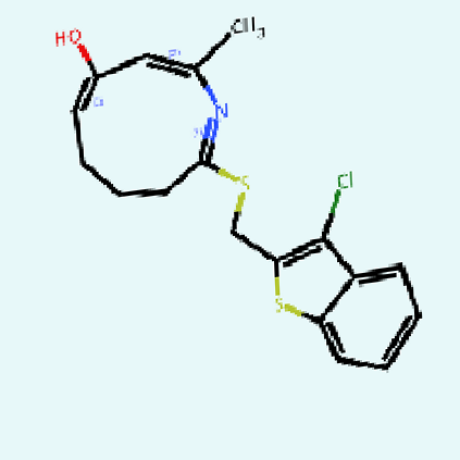 CC1=C/C(O)=C\CCC/C(SCc2sc3ccccc3c2Cl)=N\1